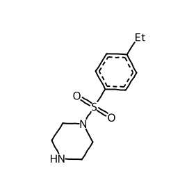 [CH2]Cc1ccc(S(=O)(=O)N2CCNCC2)cc1